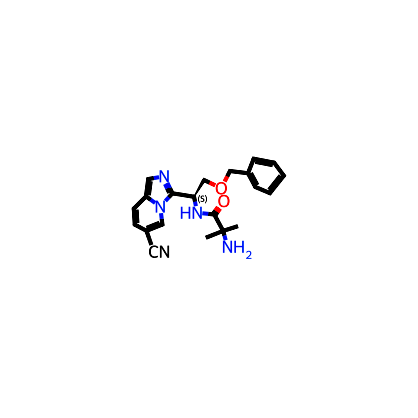 CC(C)(N)C(=O)N[C@H](COCc1ccccc1)c1ncc2ccc(C#N)cn12